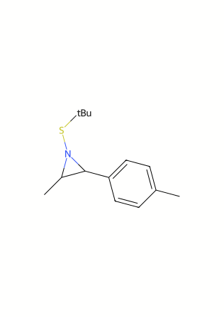 Cc1ccc(C2C(C)N2SC(C)(C)C)cc1